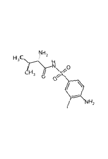 CC(C)[C@H](N)C(=O)NS(=O)(=O)c1ccc(N)c(I)c1